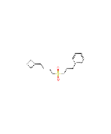 O=S(=O)(CCCCC1CCC1)CCCc1cc[c]cc1